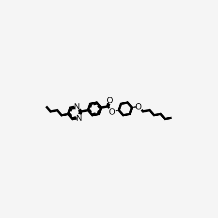 CCCCCCO[C@H]1CC[C@H](OC(=O)c2ccc(-c3ncc(CCCC)cn3)cc2)CC1